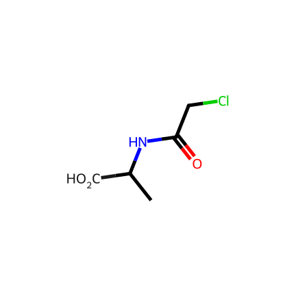 CC(NC(=O)CCl)C(=O)O